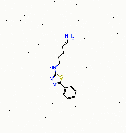 NCCCCCNc1nnc(-c2ccccc2)s1